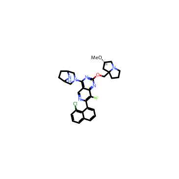 CO[C@@H]1CN2CCCC2(COc2nc(N3CC4CCC(C3)N4)c3cnc(-c4cccc5cccc(Cl)c45)c(F)c3n2)C1